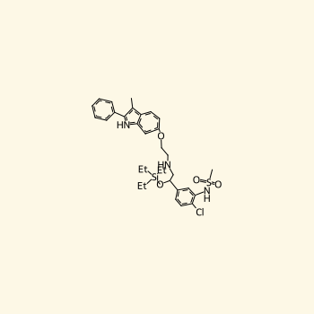 CC[Si](CC)(CC)OC(CNCCOc1ccc2c(C)c(-c3ccccc3)[nH]c2c1)c1ccc(Cl)c(NS(C)(=O)=O)c1